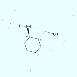 OC[C@@H]1CCCC[C@H]1NI